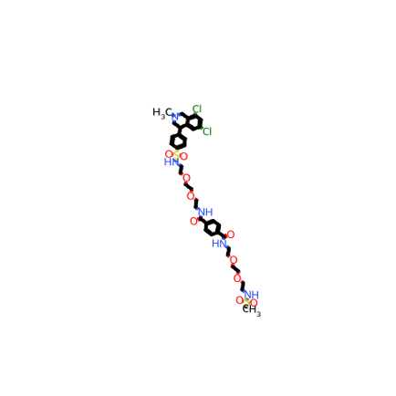 CN1Cc2c(Cl)cc(Cl)cc2C(c2ccc(S(=O)(=O)NCCOCCOCCNC(=O)c3ccc(C(=O)NCCOCCOCCNS(C)(=O)=O)cc3)cc2)C1